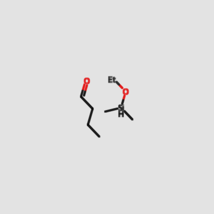 CCCC=O.CCO[SiH](C)C